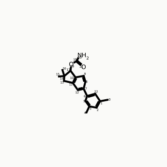 Cc1cc(C)cc(-c2ccc3c(c2)CC(C)(C)C3OC(N)=O)c1